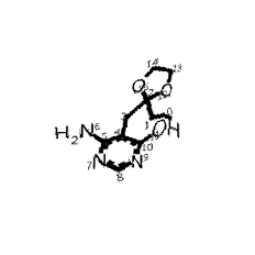 CCC1(Cc2c(N)ncnc2O)OCCO1